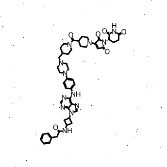 O=C1CC[C@H](N2C(=O)C=C(N3CCC(C(=O)N4CCC(CN5CCN(c6ccc(Nc7ncnc8c7ncn8C7CC(NC(=O)Cc8ccccc8)C7)cc6)CC5)CC4)CC3)C2=O)C(=O)N1